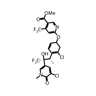 COC(=O)c1cnc(OC2C=CC([C@H](C)[C@](O)(c3cc(Cl)c(=O)n(C)c3)C(F)(F)F)=C(Cl)C2)cc1C(F)(F)F